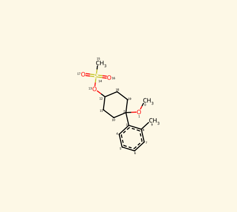 COC1(c2ccccc2C)CCC(OS(C)(=O)=O)CC1